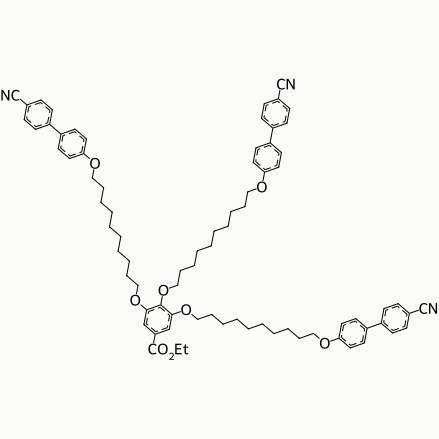 CCOC(=O)c1cc(OCCCCCCCCCCOc2ccc(-c3ccc(C#N)cc3)cc2)c(OCCCCCCCCCCOc2ccc(-c3ccc(C#N)cc3)cc2)c(OCCCCCCCCCCOc2ccc(-c3ccc(C#N)cc3)cc2)c1